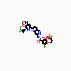 COc1ccc(-c2ccc3cnc(CNC(=O)c4cc(F)c5c(c4)S(=O)(=O)[C@@H](F)CCO5)cc3n2)nc1[C@@H]1CC1(F)F